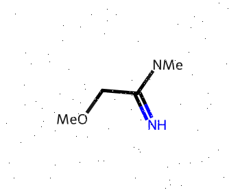 CNC(=N)COC